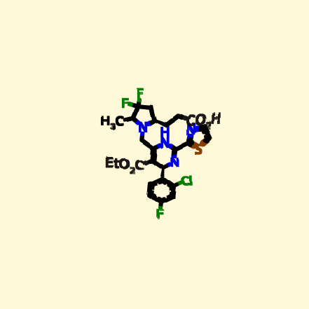 CCOC(=O)C1=C(CN2C(C)C(F)(F)C[C@H]2CCC(=O)O)NC(c2nccs2)=N[C@H]1c1ccc(F)cc1Cl